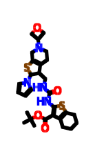 CC(C)(C)OC(=O)c1c(NC(=O)NCC2C3=C(CN(C4COC4)CC3)SC2n2cccc2)sc2c1CCCC2